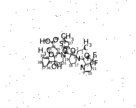 CCC[C@H]1N(C(=O)c2ncccc2C(F)(F)F)CCC[C@@]1(Oc1csc(C)c1)C(=O)N1CCC(O)(c2ccccc2OC)CC1CCC(=O)O